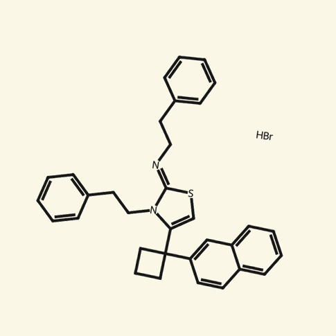 Br.c1ccc(CCN=c2scc(C3(c4ccc5ccccc5c4)CCC3)n2CCc2ccccc2)cc1